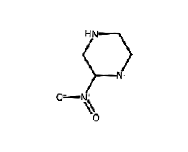 O=[N+]([O-])C1CNCC[N]1